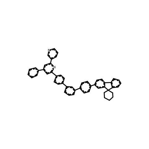 c1ccc(-c2cc(-c3ccc(-c4cccc(-c5ccc(-c6ccc7c(c6)C6(CCCCC6)c6ccccc6-7)cc5)c4)cc3)nc(-c3cccnc3)c2)cc1